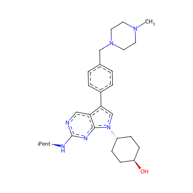 CCC[C@H](C)Nc1ncc2c(-c3ccc(CN4CCN(C)CC4)cc3)cn([C@H]3CC[C@H](O)CC3)c2n1